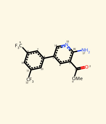 COC(=O)c1cc(-c2cc(C(F)(F)F)cc(C(F)(F)F)c2)cnc1N